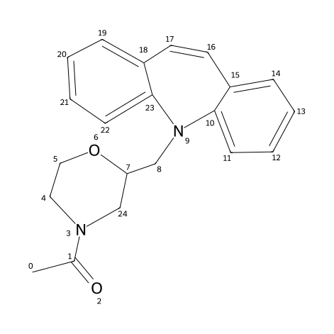 CC(=O)N1CCOC(CN2c3ccccc3C=Cc3ccccc32)C1